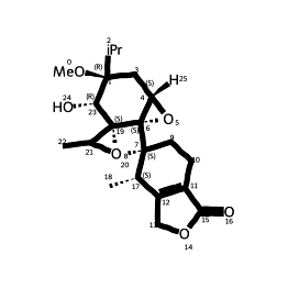 CO[C@@]1(C(C)C)C[C@@H]2O[C@]2([C@@]2(C)CCC3=C(COC3=O)[C@@H]2C)[C@]2(OC2C)[C@@H]1O